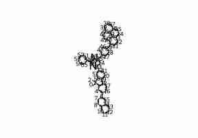 CC1(C)c2cc(-c3ccc4ccccc4c3)ccc2-c2ccc(-c3cc(-c4ccc(-c5ccc6ccc7cccc8ccc5c6c78)cc4)nc(-c4ccccc4)n3)cc21